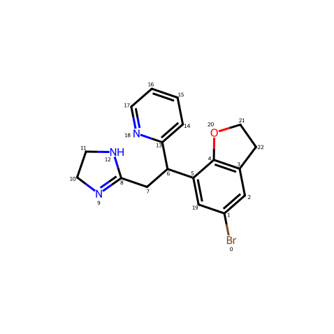 Brc1cc2c(c(C(CC3=NCCN3)c3ccccn3)c1)OCC2